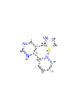 [c]1ncc(-c2nccs2)c(-c2ccccn2)n1